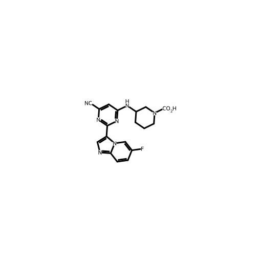 N#Cc1cc(NC2CCCN(C(=O)O)C2)nc(-c2cnc3ccc(F)cn23)n1